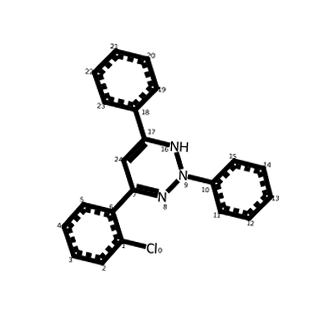 Clc1ccccc1C1=NN(c2ccccc2)NC(c2ccccc2)=C1